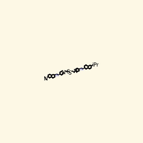 CC(C)c1ccc2cc(/C=C/c3cc[n+](CCSSCC[n+]4ccc(/C=C/c5ccc6cc(N(C)C)ccc6c5)cc4)cc3)ccc2c1